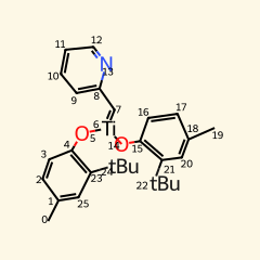 Cc1ccc([O][Ti](=[CH]c2ccccn2)[O]c2ccc(C)cc2C(C)(C)C)c(C(C)(C)C)c1